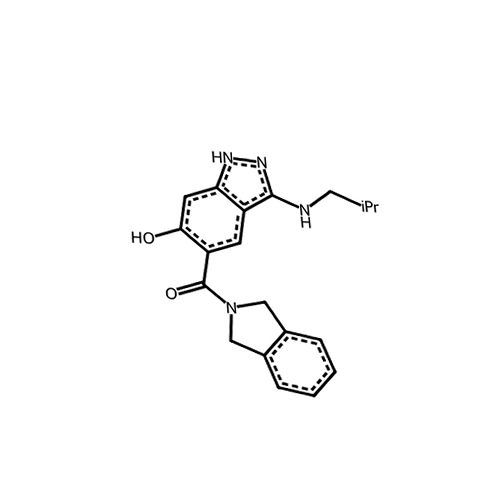 CC(C)CNc1n[nH]c2cc(O)c(C(=O)N3Cc4ccccc4C3)cc12